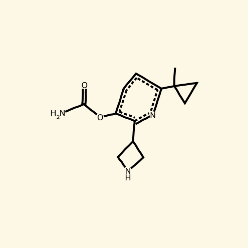 CC1(c2ccc(OC(N)=O)c(C3CNC3)n2)CC1